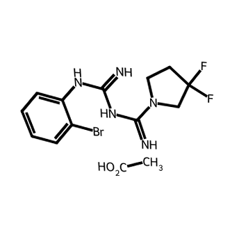 CC(=O)O.N=C(NC(=N)N1CCC(F)(F)C1)Nc1ccccc1Br